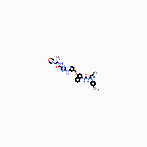 Cc1ccc(-n2nc(C(C)(C)C)cc2NC(=O)Nc2ccc(OCc3ccnc(Nc4cnc(C(=O)N[C@@H](C)CN5CCOCC5)cn4)c3)c3ccccc23)cc1